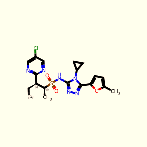 Cc1ccc(-c2nnc(NS(=O)(=O)[C@@H](C)[C@@H](CC(C)C)c3ncc(Cl)cn3)n2C2CC2)o1